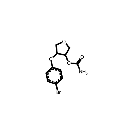 NC(=O)OC1COCC1Oc1ccc(Br)cc1